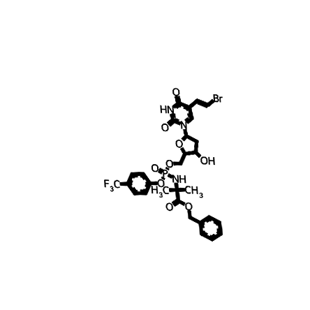 CC(C)(NP(=O)(OCC1OC(n2cc(/C=C/Br)c(=O)[nH]c2=O)CC1O)Oc1ccc(C(F)(F)F)cc1)C(=O)OCc1ccccc1